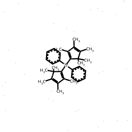 CC1=C(C)C(C)(C)[C]([Zr]([C]2=C(C)C(C)=C(C)C2(C)C)([c]2ccccc2)[c]2ccccc2)=C1C